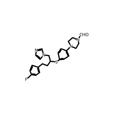 O=CN1CCN(c2ccc(SC(CCc3ccc(F)cc3)Cn3ccnc3)cc2)CC1